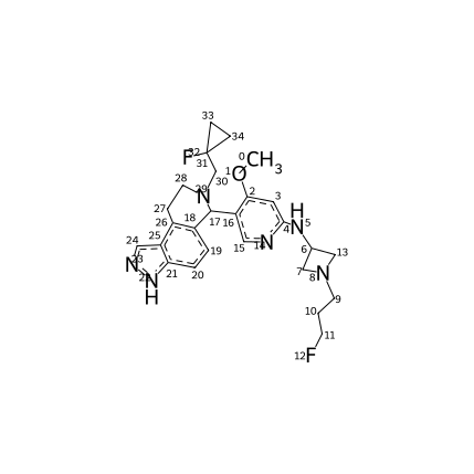 COc1cc(NC2CN(CCCF)C2)ncc1C1c2ccc3[nH]ncc3c2CCN1CC1(F)CC1